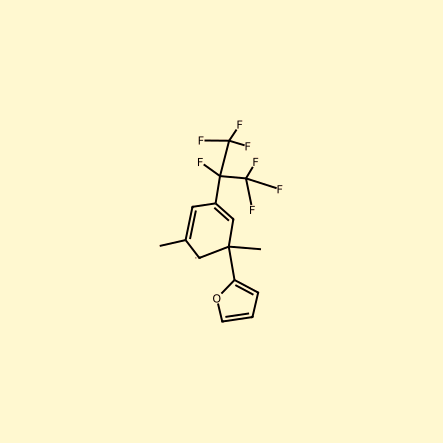 CC1=CC(C(F)(C(F)(F)F)C(F)(F)F)=CC(C)(c2ccco2)[CH]1